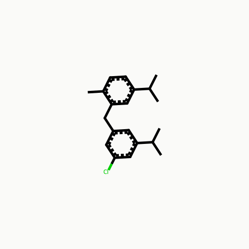 Cc1ccc(C(C)C)cc1Cc1cc(Cl)cc(C(C)C)c1